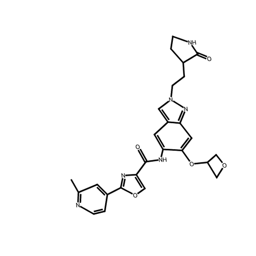 Cc1cc(-c2nc(C(=O)Nc3cc4cn(CCC5CCNC5=O)nc4cc3OC3COC3)co2)ccn1